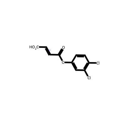 O=C(O)/C=C/C(=O)Oc1ccc(Cl)c(Cl)c1